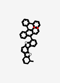 CC1CC=Cc2c1oc1c2ccc2oc3c(-c4c5ccccc5c(-c5ccccc5-c5ccccc5)c5ccccc45)cccc3c21